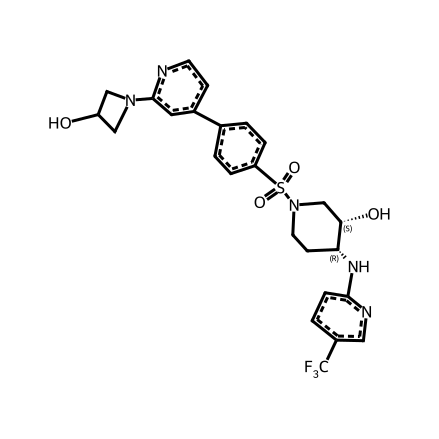 O=S(=O)(c1ccc(-c2ccnc(N3CC(O)C3)c2)cc1)N1CC[C@@H](Nc2ccc(C(F)(F)F)cn2)[C@@H](O)C1